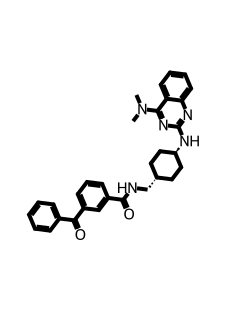 CN(C)c1nc(N[C@H]2CC[C@@H](CNC(=O)c3cccc(C(=O)c4ccccc4)c3)CC2)nc2ccccc12